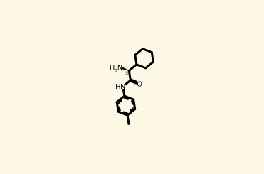 Cc1ccc(NC(=O)[C@@H](N)C2CCCCC2)cc1